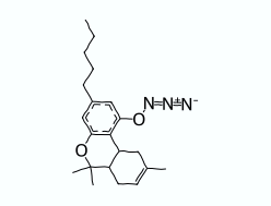 CCCCCc1cc(ON=[N+]=[N-])c2c(c1)OC(C)(C)C1CC=C(C)CC21